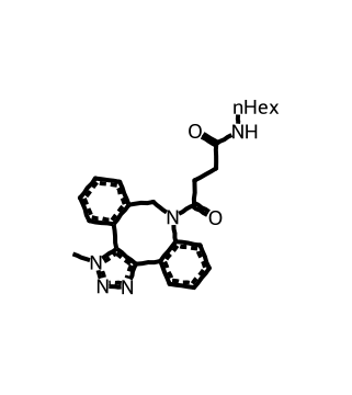 CCCCCCNC(=O)CCC(=O)N1Cc2ccccc2-c2c(nnn2C)-c2ccccc21